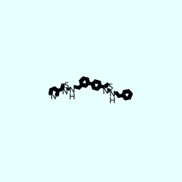 c1ccc(CCNc2nc(-c3ccc(-c4cccc(CCNc5nc(-c6cccnc6)cs5)c4)cc3)cs2)cc1